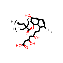 C=CCC(CC)(CC)C(=O)OC1CC(O)C=C2C=CC(C)C(CCC(O)CC(O)CC(=O)O)C21